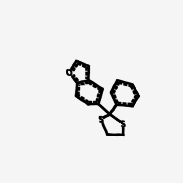 c1ccc(C2(c3ccc4occc4c3)SCCS2)cc1